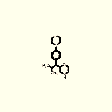 CC(C)C(c1ccc(N2CCOCC2)cc1)C1CNCCO1